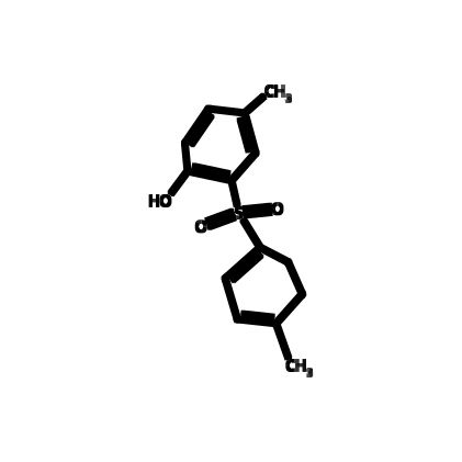 CC1=CC=C(S(=O)(=O)c2cc(C)ccc2O)CC1